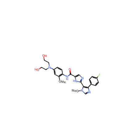 COc1cc(N(CCO)CCO)ccc1NC(=O)c1cnc(-c2c(-c3ccc(F)cc3)ncn2OC)[nH]1